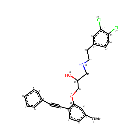 COc1ccc(C#Cc2ccccc2)c(OCC(O)CNCCc2ccc(Cl)c(Cl)c2)c1